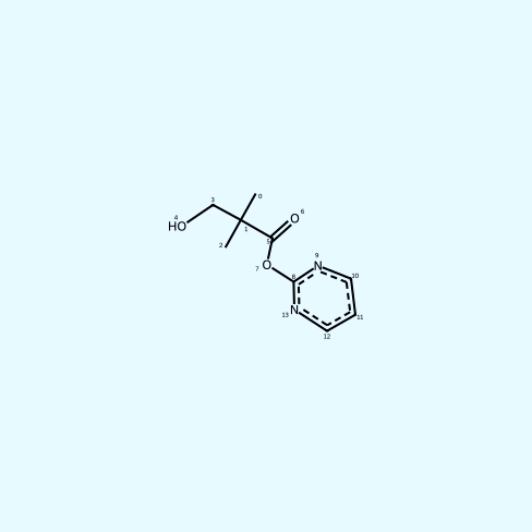 CC(C)(CO)C(=O)Oc1ncccn1